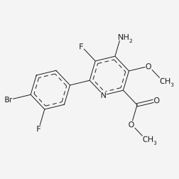 COC(=O)c1nc(-c2ccc(Br)c(F)c2)c(F)c(N)c1OC